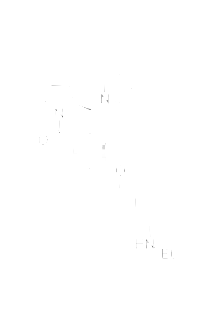 CCNCCCCOc1ccc(C(=O)N2CCC[C@H]2CN2CCCC2)cc1